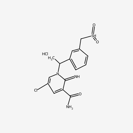 CC(c1cccc(C[SH](=O)=O)c1)n1cc(Cl)cc(C(N)=O)c1=N.Cl